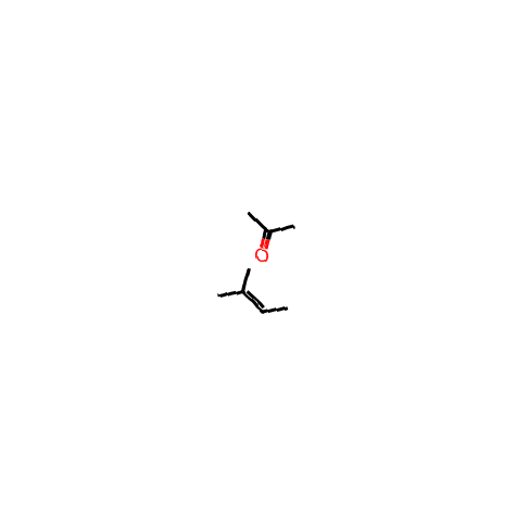 CC(C)=O.CC=C(C)C